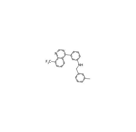 Cc1cccc(CNc2cccc(-c3[c]cnc4c(C(F)(F)F)cccc34)c2)c1